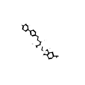 CC(C)(C)c1ccc2c(c1)C(=O)N(CC[C@@H](C(=O)O)[C@@H](O)CCc1ccc(-c3ccc(F)cc3)cc1)C2=O